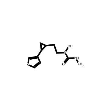 CNC(=O)N(O)CCC1CC1c1ccsc1